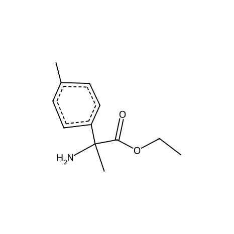 CCOC(=O)C(C)(N)c1ccc(C)cc1